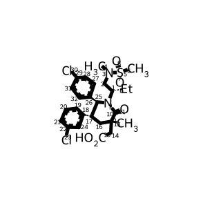 CC[C@@H](CN(C)S(C)(=O)=O)N1C(=O)[C@](C)(CC(=O)O)C[C@H](c2cccc(Cl)c2)[C@H]1c1ccc(Cl)cc1